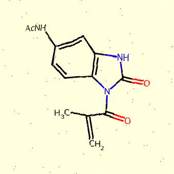 C=C(C)C(=O)n1c(=O)[nH]c2cc(NC(C)=O)ccc21